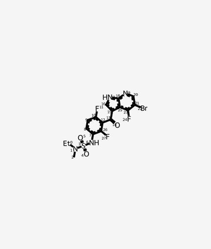 CCN(C)S(=O)(=O)Nc1ccc(F)c(C(=O)c2c[nH]c3ncc(Br)c(F)c23)c1F